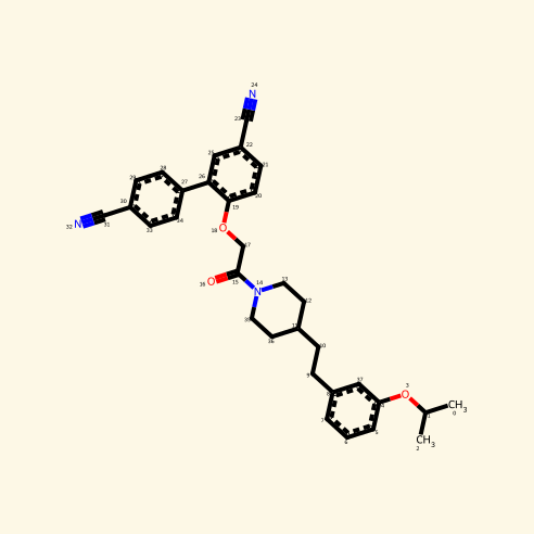 CC(C)Oc1cccc(CCC2CCN(C(=O)COc3ccc(C#N)cc3-c3ccc(C#N)cc3)CC2)c1